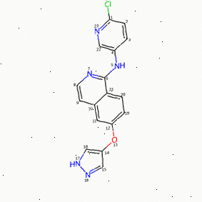 Clc1ccc(Nc2nccc3cc(Oc4cn[nH]c4)ccc23)cn1